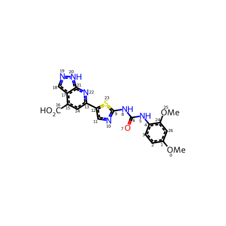 COc1ccc(NC(=O)Nc2ncc(-c3cc(C(=O)O)c4cn[nH]c4n3)s2)c(OC)c1